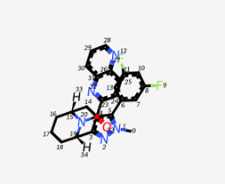 Cn1nc2c(c1-c1cc(F)cc(F)c1)C[C@H]1CCC[C@@H]2N1C(=O)c1ccc2ncccc2n1